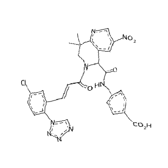 CC1(C)CN(C(=O)C=Cc2cc(Cl)ccc2-n2cnnn2)C(C(=O)Nc2ccc(C(=O)O)cc2)c2cc([N+](=O)[O-])cnc21